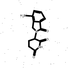 Bc1cccc2c1CN(C1CCC(=O)NC1=O)C2=O